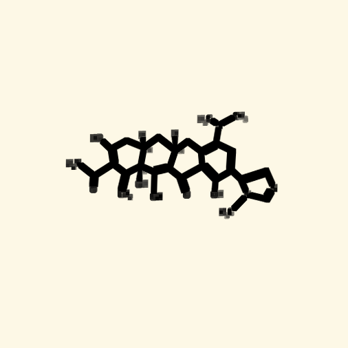 C=C1C(C(N)=O)=C(O)C[C@@H]2C[C@@H]3Cc4c(N(C)C)cc(-c5cncn5C)c(O)c4C(=O)C3=C(O)[C@]12O